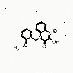 COc1ccccc1Cn1c(=O)c(O)[n+]([O-])c2ccccc21